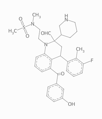 Cc1c(F)cccc1C1CC(C=O)(C2CCCNC2)N(CCN(C)S(C)(=O)=O)c2cccc(C(=O)c3cccc(O)c3)c21